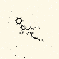 CC#CCNC(=O)C(CSC)c1sc(-c2cccnc2)nc1C